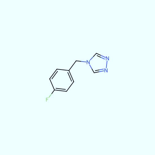 Fc1ccc(Cn2cnnc2)cc1